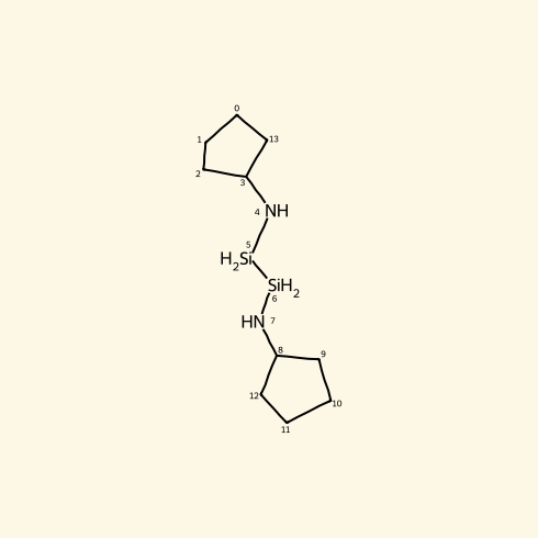 C1CCC(N[SiH2][SiH2]NC2CCCC2)C1